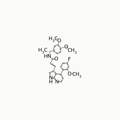 COc1ccc([C@@H](C)NC(=O)/C=C/c2c[nH]c3nccc(-c4ccc(F)cc4OC)c23)cc1OC